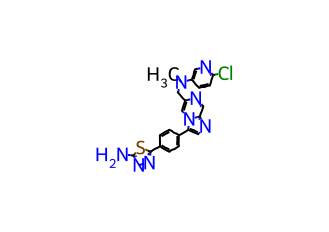 CN(Cc1cn2c(-c3ccc(-c4nnc(N)s4)cc3)cnc2cn1)c1ccc(Cl)nc1